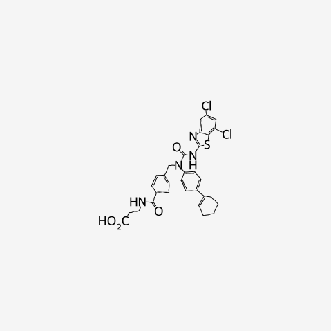 O=C(O)CCNC(=O)c1ccc(CN(C(=O)Nc2nc3cc(Cl)cc(Cl)c3s2)c2ccc(C3=CCCCC3)cc2)cc1